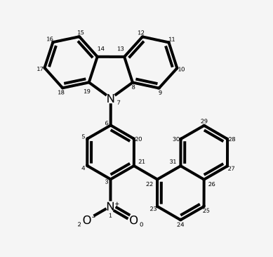 O=[N+]([O-])c1ccc(-n2c3ccccc3c3ccccc32)cc1-c1cccc2ccccc12